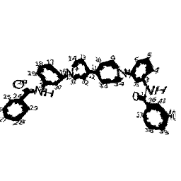 O=C(Nc1cccc(-[n+]2ccc(-c3cc[n+](-c4cccc(NC(=O)c5ccccc5)c4)cc3)cc2)c1)c1ccccc1